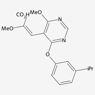 COC(=Cc1c(OC)ncnc1Oc1cccc(C(C)C)c1)C(=O)O